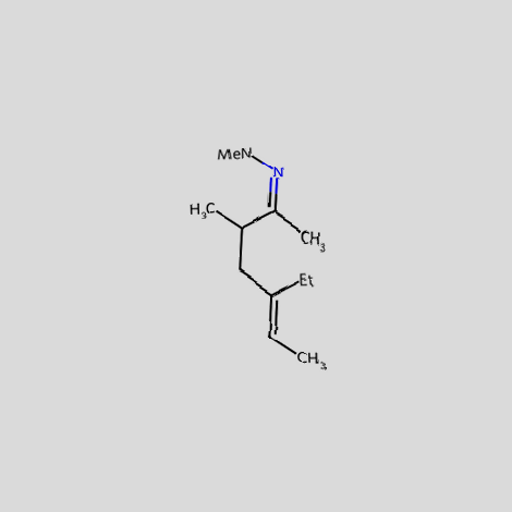 C/C=C(\CC)CC(C)/C(C)=N\NC